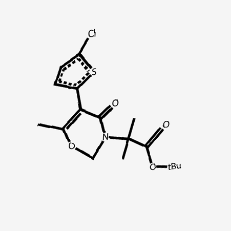 CC1=C(c2ccc(Cl)s2)C(=O)N(C(C)(C)C(=O)OC(C)(C)C)CO1